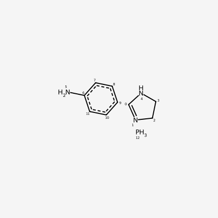 C1=NCCN1.Nc1ccccc1.P